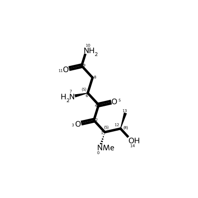 CN[C@H](C(=O)C(=O)[C@@H](N)CC(N)=O)[C@@H](C)O